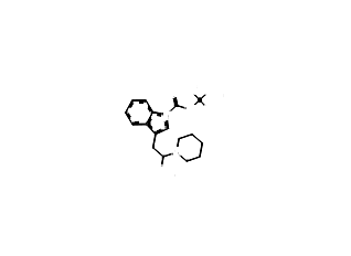 CC(Cc1cn(C(=O)OC(C)(C)C)c2ccccc12)N1CCCCC1